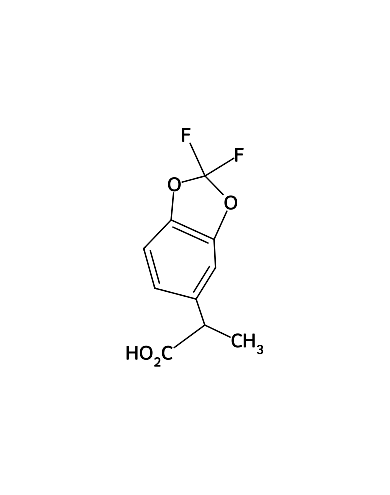 CC(C(=O)O)c1ccc2c(c1)OC(F)(F)O2